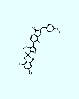 COc1ccc(CN2Cc3c(ccc(-c4nnc(C(C)(C)Oc5c(F)cc(Cl)cc5F)n4C(C)C)c3F)C2=O)cc1